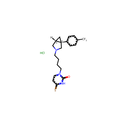 Cl.O=c1[nH]c(=S)ccn1CCCCN1C[C@@H]2C[C@]2(c2ccc(C(F)(F)F)cc2)C1